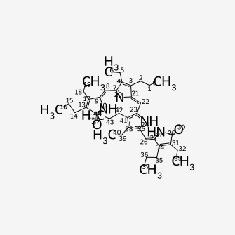 CCCC1=C(CC)C(/C=C2\NC(=O)C(CCC)=C2CC)=NC1=Cc1[nH]c(/C=C2\NC(=O)C(CC)=C2CCC)c(CC)c1CCC